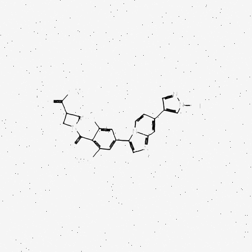 COC(=O)C1CN(C(=O)c2c(OC)cc(-c3cnc4cc(-c5cnn(C)c5)ccn34)cc2OC)C1